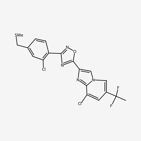 CSCc1ccc(-c2noc(-c3cn4cc(C(C)(F)F)cc(Cl)c4n3)n2)c(Cl)c1